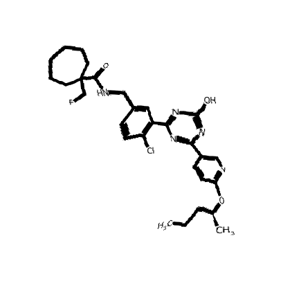 CCC[C@H](C)Oc1ccc(-c2nc(O)nc(-c3cc(CNC(=O)C4(CF)CCCCCC4)ccc3Cl)n2)cn1